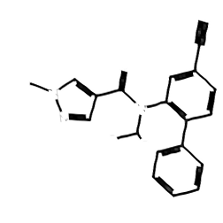 C#Cc1ccc(-c2ccccc2)c(N(C(=O)c2cnn(C)c2)C(F)F)c1